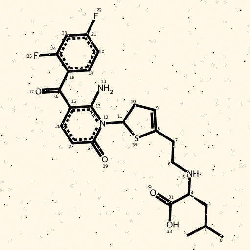 CC(C)C[C@H](NCCC1=CCC(n2c(N)c(C(=O)c3ccc(F)cc3F)ccc2=O)S1)C(=O)O